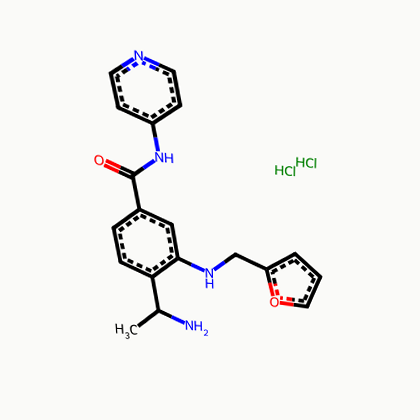 CC(N)c1ccc(C(=O)Nc2ccncc2)cc1NCc1ccco1.Cl.Cl